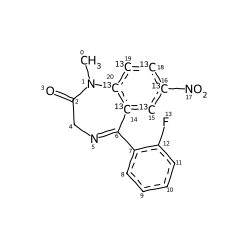 CN1C(=O)CN=C(c2ccccc2F)[13c]2[13cH][13c]([N+](=O)[O-])[13cH][13cH][13c]21